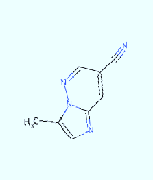 Cc1cnc2cc(C#N)cnn12